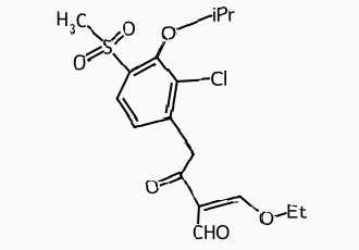 CCOC=C(C=O)C(=O)Cc1ccc(S(C)(=O)=O)c(OC(C)C)c1Cl